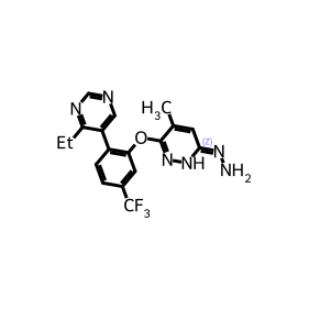 CCc1ncncc1-c1ccc(C(F)(F)F)cc1Oc1n[nH]/c(=N\N)cc1C